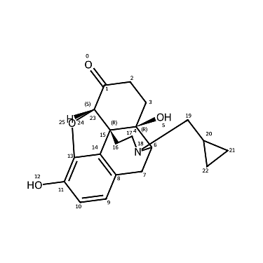 O=C1CC[C@]2(O)C3Cc4ccc(O)c5c4[C@]2(CCN3CC2CC2)[C@@H]1O5